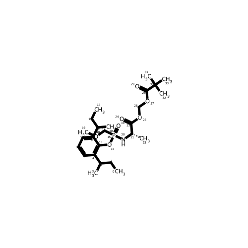 CCC(C)c1cccc(C(C)CC)c1OP(=O)(COC)N[C@@H](C)C(=O)OCOC(=O)C(C)(C)C